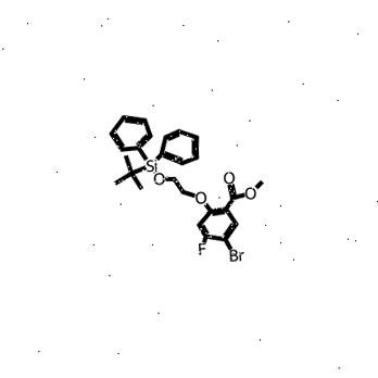 COC(=O)c1cc(Br)c(F)cc1OCCO[Si](c1ccccc1)(c1ccccc1)C(C)(C)C